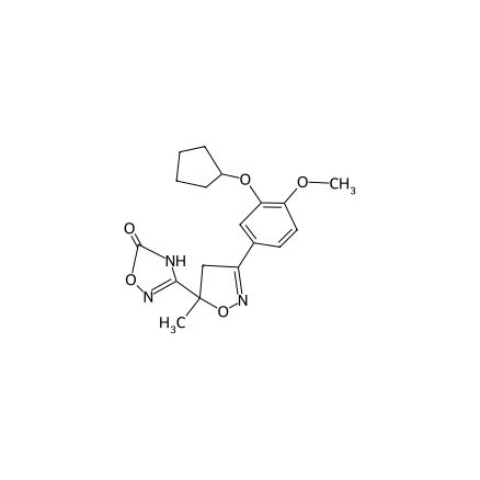 COc1ccc(C2=NOC(C)(c3noc(=O)[nH]3)C2)cc1OC1CCCC1